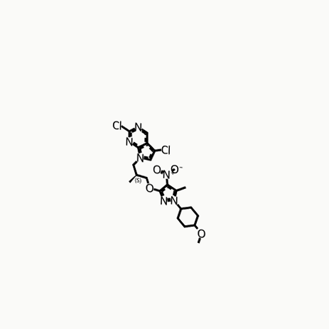 COC1CCC(n2nc(OC[C@@H](C)Cn3cc(Cl)c4cnc(Cl)nc43)c([N+](=O)[O-])c2C)CC1